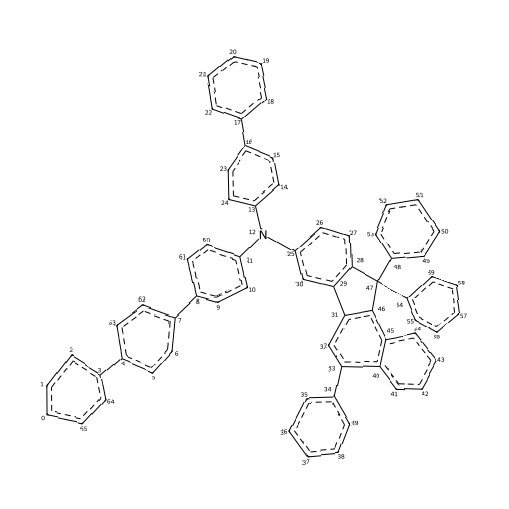 c1ccc(-c2ccc(-c3ccc(N(c4ccc(-c5ccccc5)cc4)c4ccc5c(c4)-c4cc(-c6ccccc6)c6ccccc6c4C5(c4ccccc4)c4ccccc4)cc3)cc2)cc1